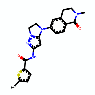 CC(=O)c1ccc(C(=O)Nc2cc3n(n2)CCN3c2ccc3c(c2)CCN(C)C3=O)s1